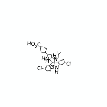 O=C(O)c1ccc([C@H]2C[C@H]3[C@@H](N2)[C@H](c2cccc(Cl)c2)[C@]2(C(=O)Nc4cc(Cl)ccc42)N3CC2CC2)cc1